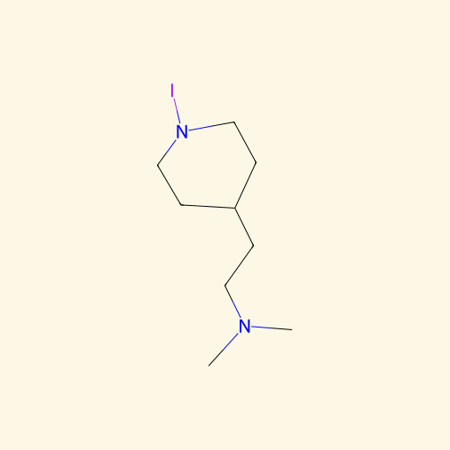 CN(C)CCC1CCN(I)CC1